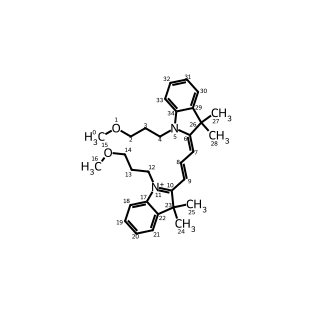 COCCCN1C(=CC=CC2=[N+](CCCOC)c3ccccc3C2(C)C)C(C)(C)c2ccccc21